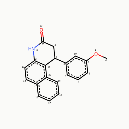 COc1cccc(C2CC(=O)Nc3ccc4ccccc4c32)c1